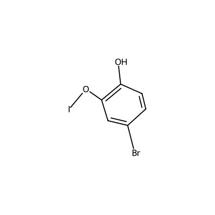 Oc1ccc(Br)cc1OI